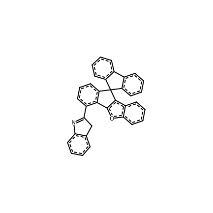 c1ccc2c(c1)CC(c1cccc3c1-c1oc4ccccc4c1C31c3ccccc3-c3ccccc31)=N2